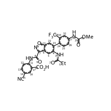 CCC(=O)Nc1cc2c(C(=O)Nc3ccc(C#N)cc3C(=O)O)noc2cc1-c1ccc(NC(=O)OC)cc1C(F)(F)F